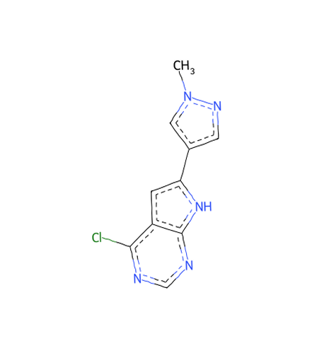 Cn1cc(-c2cc3c(Cl)ncnc3[nH]2)cn1